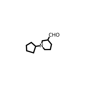 O=CC1CCCN(C2CCCC2)C1